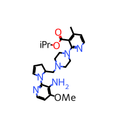 COc1ccnc(N2C=CCC2CN2CCN(c3nccc(C)c3C(=O)OC(C)C)CC2)c1N